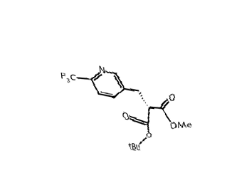 COC(=O)[C@@H](Cc1ccc(C(F)(F)F)nc1)C(=O)OC(C)(C)C